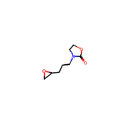 O=C1OCCN1CCCC1CO1